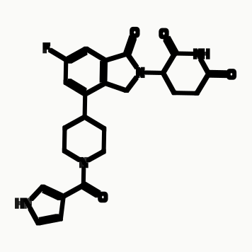 O=C1CCC(N2Cc3c(cc(F)cc3C3CCN(C(=O)c4cc[nH]c4)CC3)C2=O)C(=O)N1